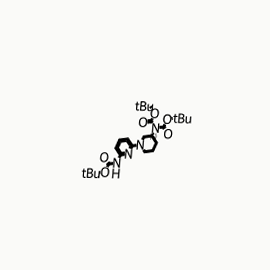 CC(C)(C)OC(=O)Nc1cccc(N2CCC[C@H](N(C(=O)OC(C)(C)C)C(=O)OC(C)(C)C)C2)n1